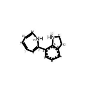 C1=CC=C(c2cccc3c2NCC3)NC=C1